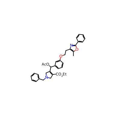 CCOC(=O)C1=C(C(OC(C)=O)c2cccc(OCCc3nc(-c4ccccc4)oc3C)c2)CN(Cc2ccccc2)C1